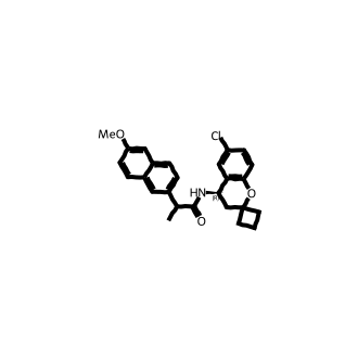 COc1ccc2cc(C(C)C(=O)N[C@@H]3CC4(CCC4)Oc4ccc(Cl)cc43)ccc2c1